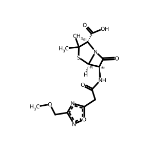 COCc1noc(CC(=O)N[C@@H]2C(=O)N3[C@@H]2SC(C)(C)[C@@H]3C(=O)O)n1